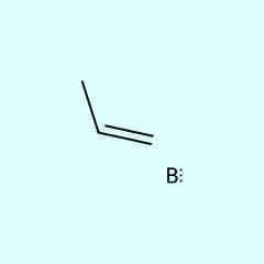 C=CC.[B]